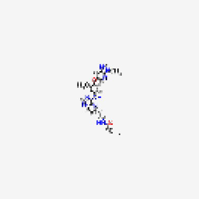 C=CC(=O)NCC=Cc1ccc2ncnc(Nc3ccc(Oc4cnc5c(c4)ncn5C)c(C)c3)c2n1